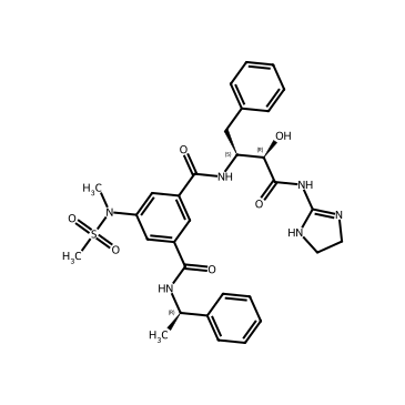 C[C@@H](NC(=O)c1cc(C(=O)N[C@@H](Cc2ccccc2)[C@@H](O)C(=O)NC2=NCCN2)cc(N(C)S(C)(=O)=O)c1)c1ccccc1